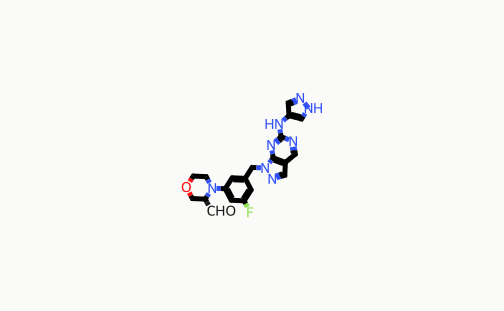 O=CC1COCCN1c1cc(F)cc(Cn2ncc3cnc(Nc4cn[nH]c4)nc32)c1